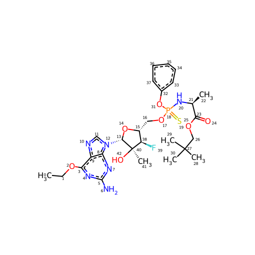 CCOc1nc(N)nc2c1ncn2[C@@H]1O[C@H](COP(=S)(N[C@@H](C)C(=O)OCC(C)(C)C)Oc2ccccc2)[C@@H](F)[C@@]1(C)O